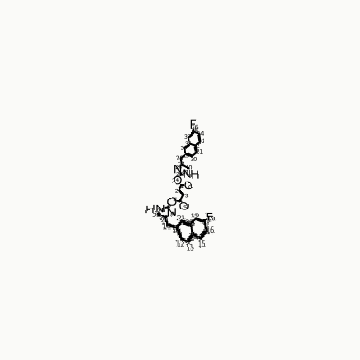 O=C(/C=C/C(=O)OC1=NC(Cc2ccc3ccc(F)cc3c2)CN1)OC1=NC(Cc2ccc3ccc(F)cc3c2)CN1